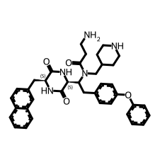 NCCC(=O)N(CC1CCNCC1)C(Cc1ccc(Oc2ccccc2)cc1)[C@@H]1NC(=O)[C@H](Cc2ccc3ccccc3c2)NC1=O